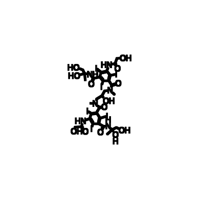 CN(CC(O)CN(C)C(=O)c1c(I)c(NC(=O)CO)c(I)c(C(=O)NC(C)(O)CO)c1I)C(=O)c1c(I)c(NC(=O)CO)c(I)c(C(=O)NC(C)(O)CO)c1I